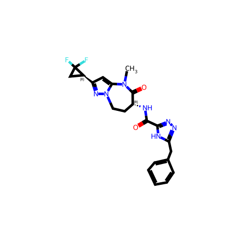 CN1C(=O)[C@H](NC(=O)c2nnc(Cc3ccccc3)[nH]2)CCn2nc([C@H]3CC3(F)F)cc21